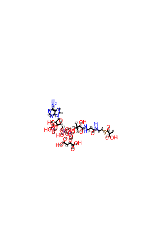 CC(C(=O)O)C(=O)SCCNC(=O)CCNC(=O)[C@H](O)C(C)(C)COP(=O)(O)OP(=O)(O)OC[C@H]1O[C@@H](n2cnc3c(N)ncnc32)[C@H](O)[C@@H]1OP(=O)(O)O.O=C(O)CC(=O)C(=O)O